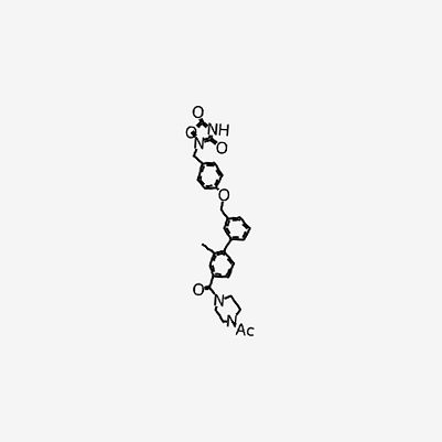 CC(=O)N1CCN(C(=O)c2ccc(-c3cccc(COc4ccc(Cn5oc(=O)[nH]c5=O)cc4)c3)c(C)c2)CC1